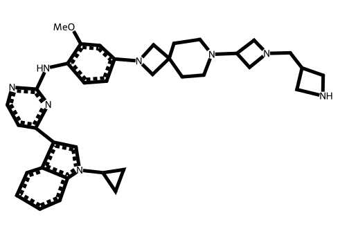 COc1cc(N2CC3(CCN(C4CN(CC5CNC5)C4)CC3)C2)ccc1Nc1nccc(-c2cn(C3CC3)c3ccccc23)n1